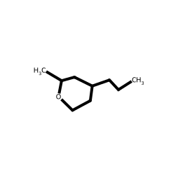 CCCC1CCOC(C)C1